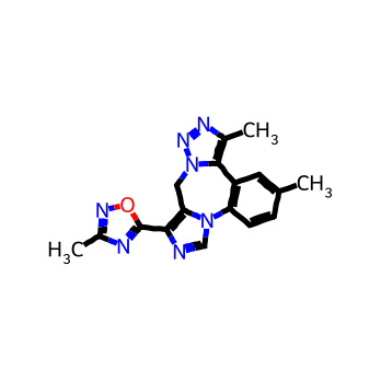 Cc1ccc2c(c1)-c1c(C)nnn1Cc1c(-c3nc(C)no3)ncn1-2